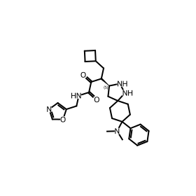 CN(C)C1(c2ccccc2)CCC2(CC1)C[C@@H](C(CC1CCC1)C(=O)C(=O)NCc1cnco1)NN2